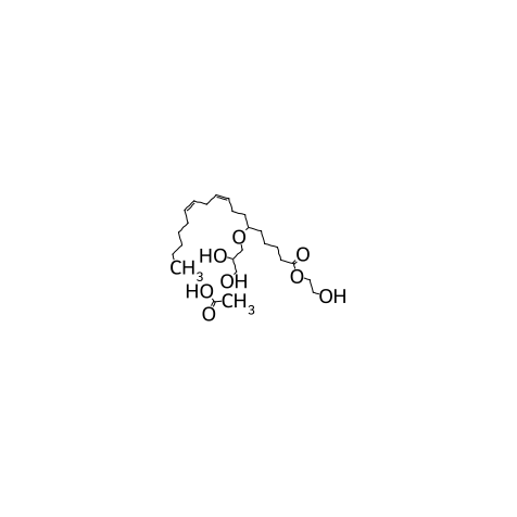 CC(=O)O.CCCCC/C=C\C/C=C\CCC(CCCCC(=O)OCCO)OCC(O)CO